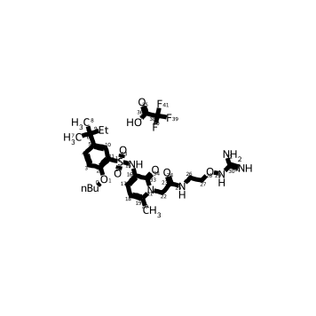 CCCCOc1ccc(C(C)(C)CC)cc1S(=O)(=O)Nc1ccc(C)n(CC(=O)NCCONC(=N)N)c1=O.O=C(O)C(F)(F)F